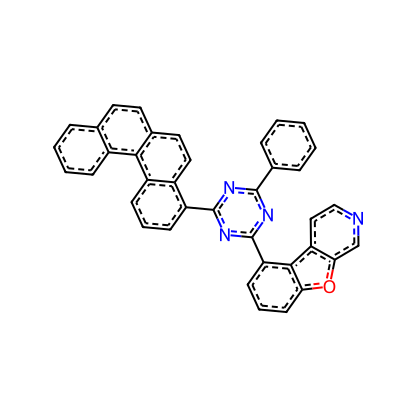 c1ccc(-c2nc(-c3cccc4c3ccc3ccc5ccccc5c34)nc(-c3cccc4oc5cnccc5c34)n2)cc1